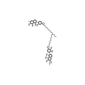 CCCC(CCCCCCCCOc1ccc(-c2ccc3cc(C)c(F)c(F)c3c2F)c(F)c1)CCCCCCCCOc1ccc(-c2ccc3cc(OCC)c(F)c(F)c3c2F)c(F)c1F